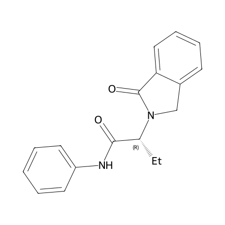 CC[C@H](C(=O)Nc1ccccc1)N1Cc2ccccc2C1=O